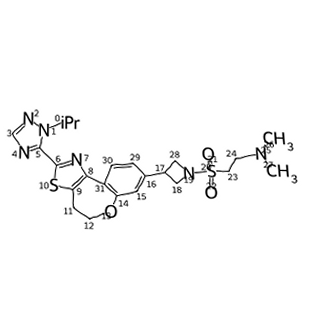 CC(C)n1ncnc1-c1nc2c(s1)CCOc1cc(C3CN(S(=O)(=O)CCN(C)C)C3)ccc1-2